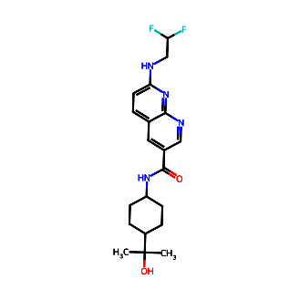 CC(C)(O)C1CCC(NC(=O)c2cnc3nc(NCC(F)F)ccc3c2)CC1